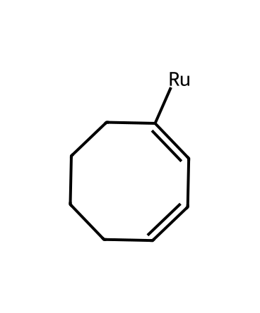 [Ru]/[C]1=C/C=C\CCCC1